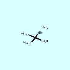 CCCCCCC(C(=O)O)(C(=O)O)C(C)(C)C.[CaH2]